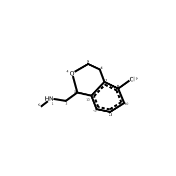 CNCC1OCCc2c(Cl)cccc21